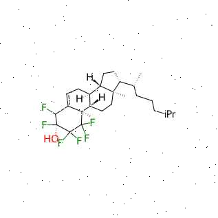 CC(C)CCC[C@@H](C)[C@H]1CC[C@H]2[C@@H]3CC=C4C(F)[C@](O)(F)C(F)(F)C(F)(F)[C@]4(C)[C@H]3CC[C@]12C